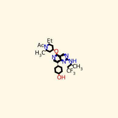 CC[C@@H]1C[C@@H](Oc2ncc([C@H]3CC[C@H](O)CC3)c3nc(N[C@@H](C)CC(F)(F)F)ncc23)C[C@H](C)N1C(C)=O